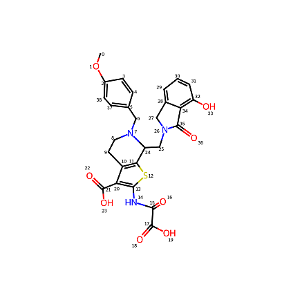 COc1ccc(CN2CCc3c(sc(NC(=O)C(=O)O)c3C(=O)O)C2CN2Cc3cccc(O)c3C2=O)cc1